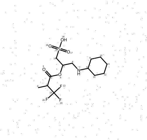 CC(C(=O)OC(CNC1CCCCC1)CS(=O)(=O)O)C(F)(F)F